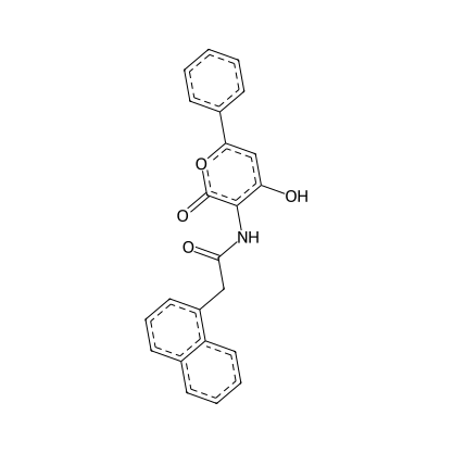 O=C(Cc1cccc2ccccc12)Nc1c(O)cc(-c2ccccc2)oc1=O